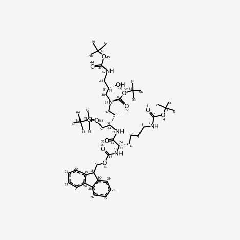 CC(C)(C)OC(=O)NCCCC[C@H](NC(=O)OCC1c2ccccc2-c2ccccc21)C(=O)N[C@@H](CCN(C[C@@H](O)CNC(=O)OC(C)(C)C)C(=O)OC(C)(C)C)CO[Si](C)(C)C(C)(C)C